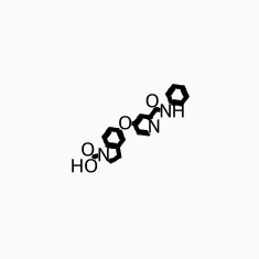 O=C(Nc1ccccc1)c1cc(Oc2ccc3c(c2)CCN3C(=O)O)ccn1